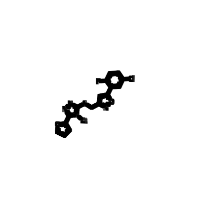 CCn1c(SCc2cc(-c3cc(Cl)ccc3F)on2)nnc1-c1ccco1